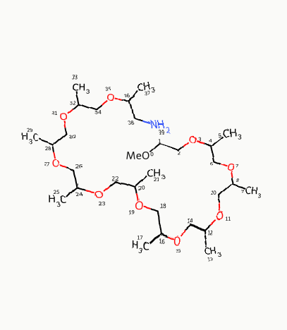 COCCOC(C)COC(C)COC(C)COC(C)COC(C)COC(C)COC(C)COC(C)COC(C)CN